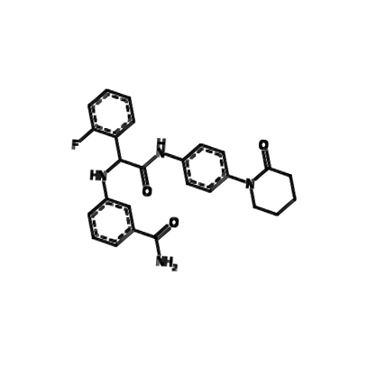 NC(=O)c1cccc(NC(C(=O)Nc2ccc(N3CCCCC3=O)cc2)c2ccccc2F)c1